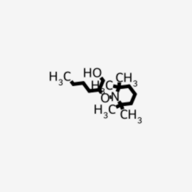 CCCCC(CO)ON1C(C)(C)CCCC1(C)C